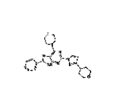 c1cc(-c2nc3c(N4CCOCC4)nc(-n4ccc(C5CCOCC5)n4)nc3[nH]2)ccn1